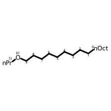 [CH2]CCCCCCCCCCCCCCCCOCCC